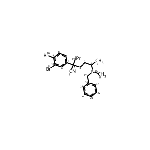 CC(CCC(C#N)(c1ccc(Br)c(Br)c1)C(C)C)N(C)Cc1ccccc1